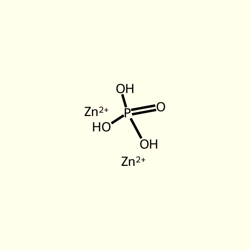 O=P(O)(O)O.[Zn+2].[Zn+2]